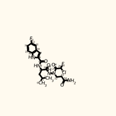 CC(C)CC(NC(=O)c1cc2cc(F)ccc2[nH]1)C(=O)NN(CCC(N)=O)C(=O)C(F)Cl